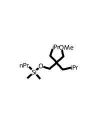 CCC[Si](C)(C)OCC(COC)(CC(C)C)CC(C)C